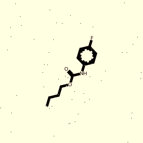 CCCCOC(=O)Nc1ccc(F)cc1